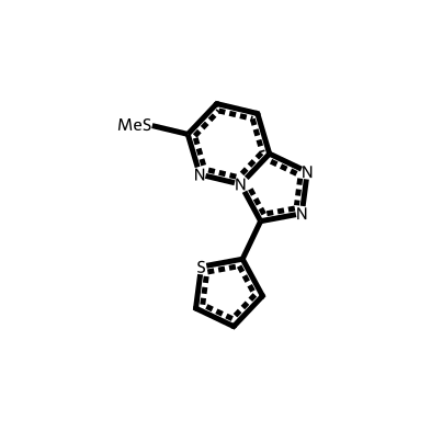 CSc1ccc2nnc(-c3cccs3)n2n1